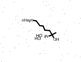 CCCCCCCCCCCCC(C)(O)C(C)C.Cl.Cl